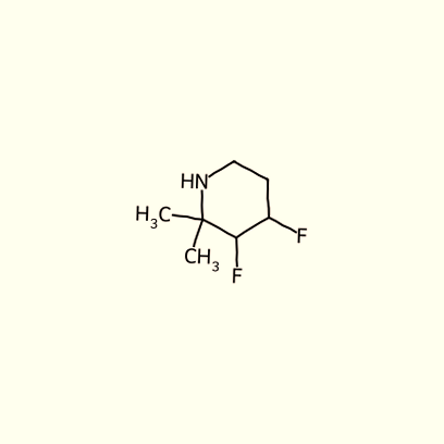 CC1(C)NCCC(F)C1F